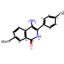 COc1ccc2c(N)c(-c3ccc(C)cc3)[nH]c(=O)c2c1